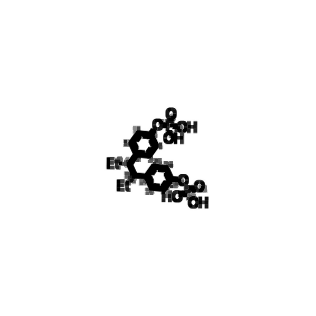 CC[C@H](c1ccc(OP(=O)(O)O)cc1)[C@@H](CC)c1ccc(OP(=O)(O)O)cc1